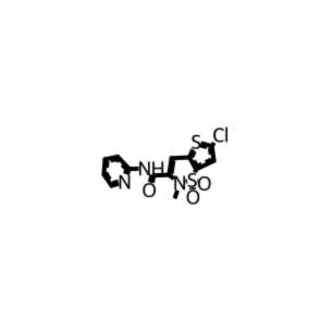 CN1C(C(=O)Nc2ccccn2)=Cc2sc(Cl)cc2S1(=O)=O